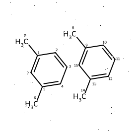 Cc1cccc(C)c1.Cc1cccc(C)c1